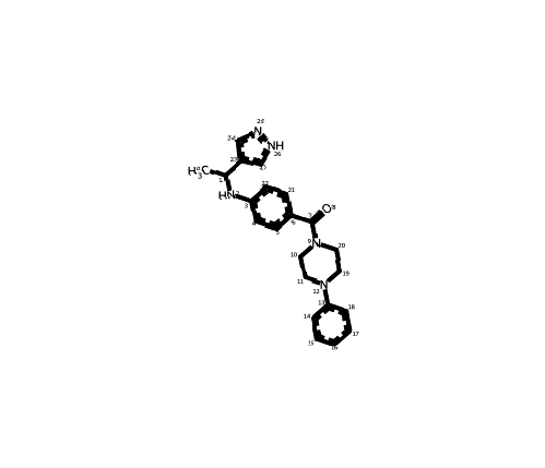 CC(Nc1ccc(C(=O)N2CCN(c3ccccc3)CC2)cc1)c1cn[nH]c1